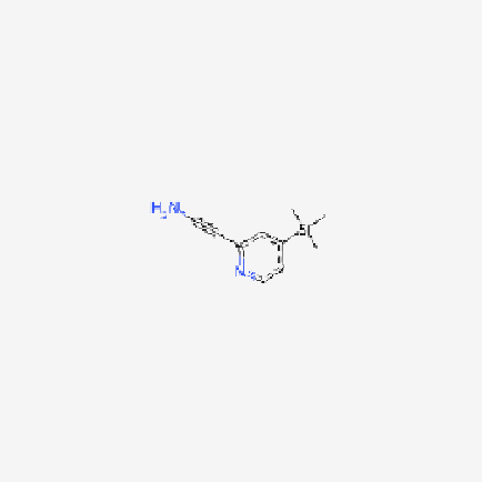 C[Si](C)(C)c1ccnc(C#CN)c1